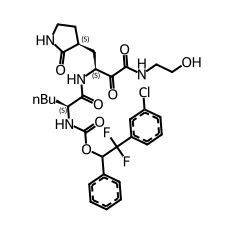 CCCC[C@H](NC(=O)OC(c1ccccc1)C(F)(F)c1cccc(Cl)c1)C(=O)N[C@@H](C[C@@H]1CCNC1=O)C(=O)C(=O)NCCO